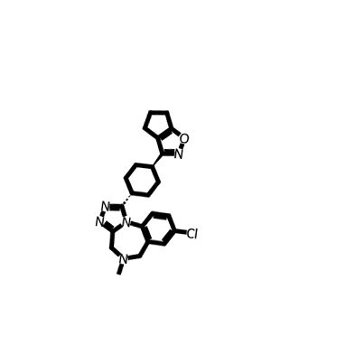 CN1Cc2cc(Cl)ccc2-n2c(nnc2[C@H]2CC[C@H](c3noc4c3CCC4)CC2)C1